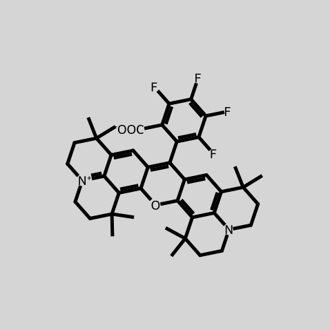 CC1(C)CCN2CCC(C)(C)c3c4c(cc1c32)C(c1c(F)c(F)c(F)c(F)c1C(=O)[O-])=c1cc2c3c(c1O4)C(C)(C)CC[N+]=3CCC2(C)C